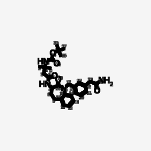 CC(C)(CC(=O)NC1CCc2ccccc2N(Cc2cccc(CC(N)=O)c2)C1=O)NC(=O)OC(C)(C)C